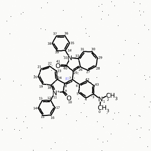 CN(C)c1ccc(/C(=C2\C(=O)[N+](c3ccccc3)=C3C=CC=CC=C32)c2c3cccccc-3n(-c3ccccc3)c2=O)cc1